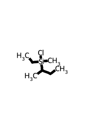 CCC(C)[Si](C)(Cl)CC